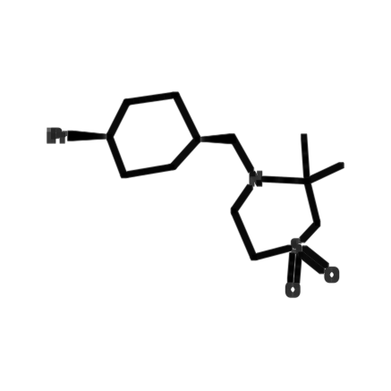 CC(C)[C@H]1CC[C@@H](CN2CCS(=O)(=O)CC2(C)C)CC1